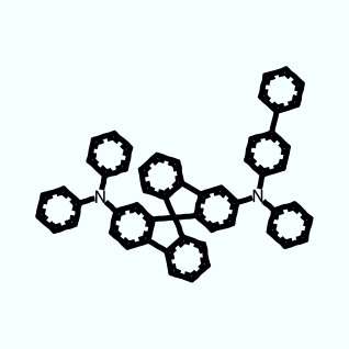 c1ccc(-c2ccc(N(c3ccccc3)c3ccc4c(c3)-c3ccccc3C43c4ccccc4-c4ccc(N(c5ccccc5)c5ccccc5)cc43)cc2)cc1